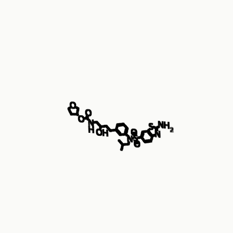 CC(C)CN(c1cccc(CCC(O)CNC(=O)OC2CCOC2)c1)S(=O)(=O)c1ccc2nc(N)sc2c1